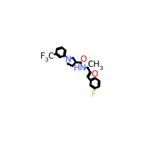 CC(NC(=O)C1CCN(c2cccc(C(F)(F)F)c2)C1)c1cc2cc(F)ccc2o1